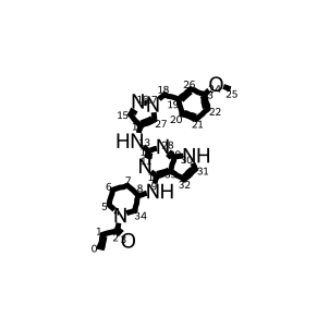 C=CC(=O)N1CCCC(Nc2nc(Nc3cnn(Cc4cccc(OC)c4)c3)nc3[nH]ccc23)C1